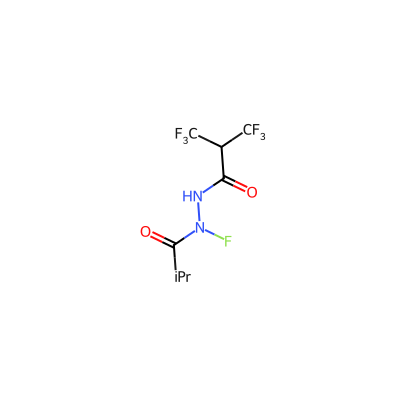 CC(C)C(=O)N(F)NC(=O)C(C(F)(F)F)C(F)(F)F